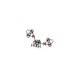 CCCCCCC(C)OC(=O)CCCCCN(CCCCCCNC(=O)C1CC(C(=O)O)CC(C(=O)NCCCCCCN(CCCCCC(=O)OC(C)CCCCCC)CCCCCC(=O)OC(C)CCCCCC)C1)CCCCCC(=O)OC(C)CCCCCC